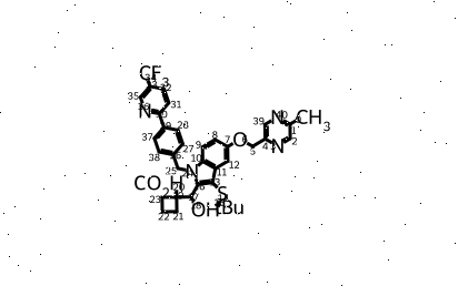 Cc1cnc(COc2ccc3c(c2)c(SC(C)(C)C)c(C(O)C2(C(=O)O)CCC2)n3Cc2ccc(-c3ccc(C(F)(F)F)cn3)cc2)cn1